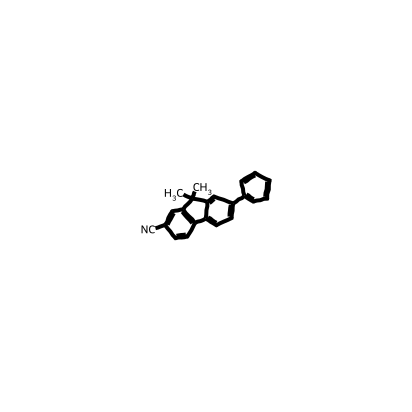 CC1(C)c2cc(C#N)ccc2-c2ccc(-c3ccccc3)cc21